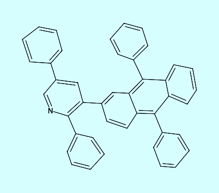 c1ccc(-c2cnc(-c3ccccc3)c(-c3ccc4c(-c5ccccc5)c5ccccc5c(-c5ccccc5)c4c3)c2)cc1